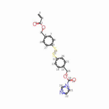 C=CC(=O)OCc1ccc(SSc2ccc(COC(=O)n3ccnc3)cc2)cc1